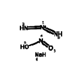 N=[N+]=N.O=NO.[NaH]